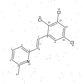 Cc1cccc(/C=C/c2cc(Cl)cc(Cl)c2Cl)n1